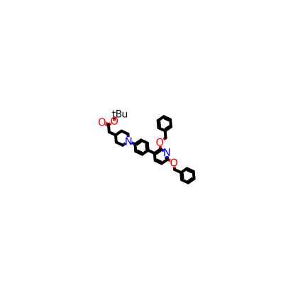 CC(C)(C)OC(=O)CC1CCN(c2ccc(-c3ccc(OCc4ccccc4)nc3OCc3ccccc3)cc2)CC1